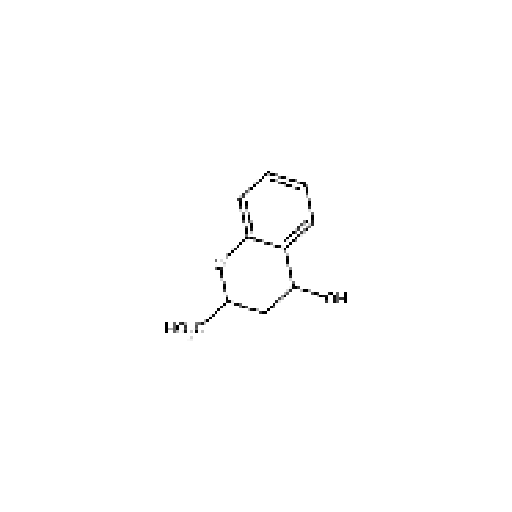 O=C(O)C1CC(O)c2ccccc2O1